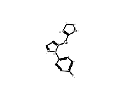 Fc1ccc(-n2nccc2NC2=NCCN2)cc1